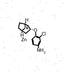 CN1[C@@H]2CC[C@H]1C[C@@H](Oc1ccc(N)cc1Cl)C2.[Zn]